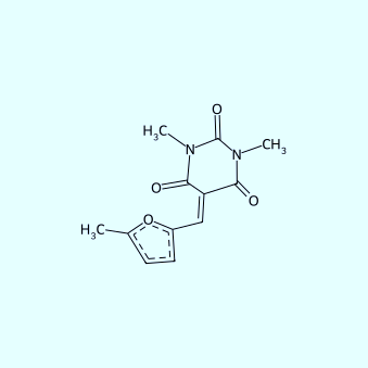 Cc1ccc(C=C2C(=O)N(C)C(=O)N(C)C2=O)o1